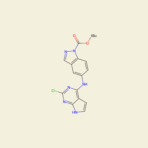 CC(C)(C)OC(=O)n1ncc2cc(Nc3nc(Cl)nc4[nH]ccc34)ccc21